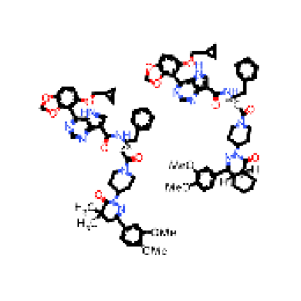 COc1ccc(C2=NN(C3CCN(C(=O)C[C@@H](Cc4ccccc4)NC(=O)c4c[nH]c5c(-c6c(OCC7CC7)ccc7c6OCO7)ncnc45)CC3)C(=O)C(C)(C)C2)cc1OC.COc1ccc(C2=NN(C3CCN(C(=O)C[C@@H](Cc4ccccc4)NC(=O)c4c[nH]c5c(-c6c(OCC7CC7)ccc7c6OCO7)ncnc45)CC3)C(=O)[C@@H]3CCCC[C@H]23)cc1OC